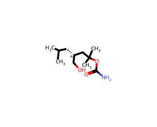 CC(C)C[C@@H](CO)CC(C)(C)OC(N)=O